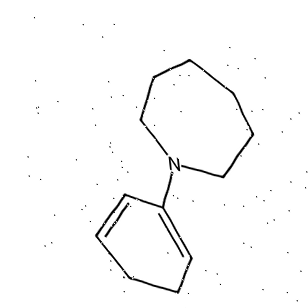 [CH]1C=CC(N2CCCCCC2)=CC1